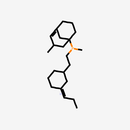 CC/C=C1/CCCC(CCP(C)C23CCCC(=CC(C)C2)C3)C1